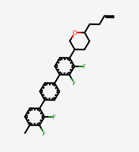 C=CCCC1CCC(c2ccc(-c3ccc(-c4ccc(C)c(F)c4F)cc3)c(F)c2F)CO1